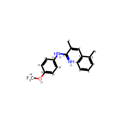 C/C(=C/c1ccccc1C)C(=N)Nc1ccc(OC(F)(F)F)cc1